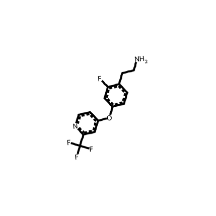 NCCc1ccc(Oc2ccnc(C(F)(F)F)c2)cc1F